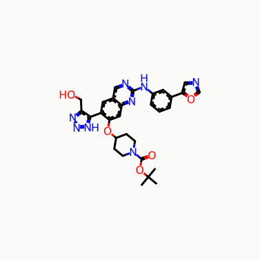 CC(C)(C)OC(=O)N1CCC(Oc2cc3nc(Nc4cccc(-c5cnco5)c4)ncc3cc2-c2[nH]nnc2CO)CC1